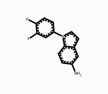 Nc1ccc2c(ccn2-c2ccc(F)c(F)c2)c1